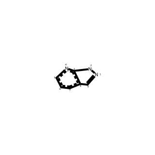 C1=N[N]c2ncccc21